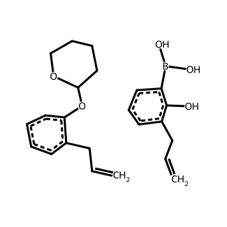 C=CCc1cccc(B(O)O)c1O.C=CCc1ccccc1OC1CCCCO1